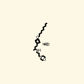 CCCCCCCCCOc1ccc(CCC(C)NCCCN2CCOCC2)cc1.Cl.Cl